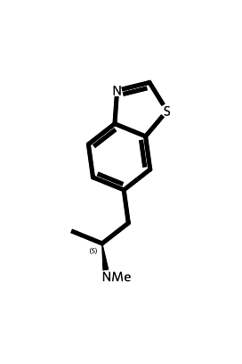 CN[C@@H](C)Cc1ccc2ncsc2c1